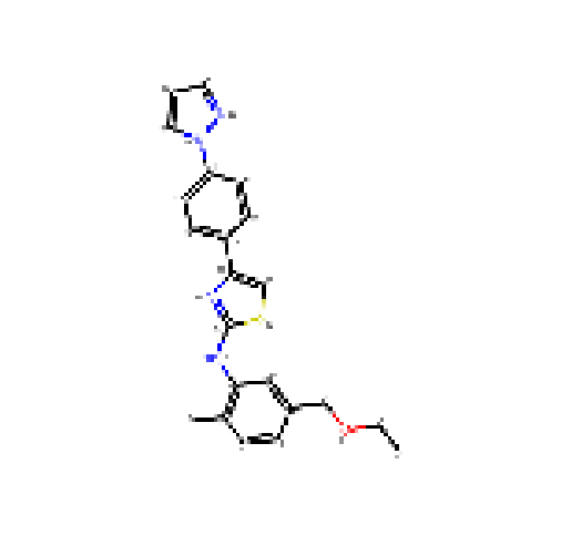 CCOCc1ccc(C)c(Nc2nc(-c3ccc(-n4cccn4)cc3)cs2)c1